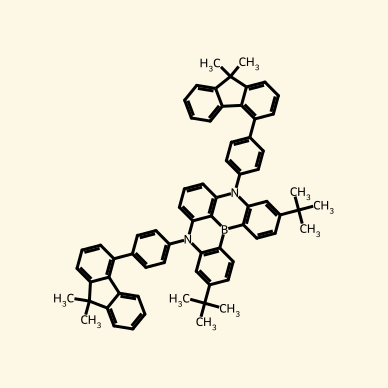 CC(C)(C)c1ccc2c(c1)N(c1ccc(-c3cccc4c3-c3ccccc3C4(C)C)cc1)c1cccc3c1B2c1ccc(C(C)(C)C)cc1N3c1ccc(-c2cccc3c2-c2ccccc2C3(C)C)cc1